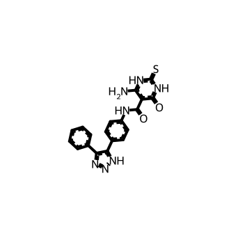 Nc1[nH]c(=S)[nH]c(=O)c1C(=O)Nc1ccc(-c2[nH]nnc2-c2ccccc2)cc1